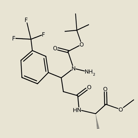 COC(=O)[C@H](C)NC(=O)CC(c1cccc(C(F)(F)F)c1)N(N)C(=O)OC(C)(C)C